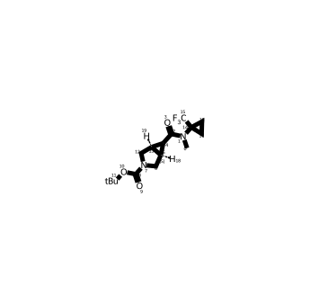 CN(C(=O)C1[C@H]2CN(C(=O)OC(C)(C)C)C[C@@H]12)C1(C(F)(F)F)CC1